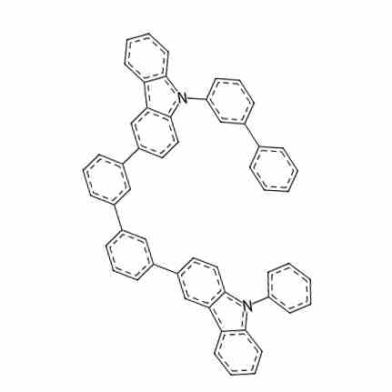 c1ccc(-c2cccc(-n3c4ccccc4c4cc(-c5cccc(-c6cccc(-c7ccc8c(c7)c7ccccc7n8-c7ccccc7)c6)c5)ccc43)c2)cc1